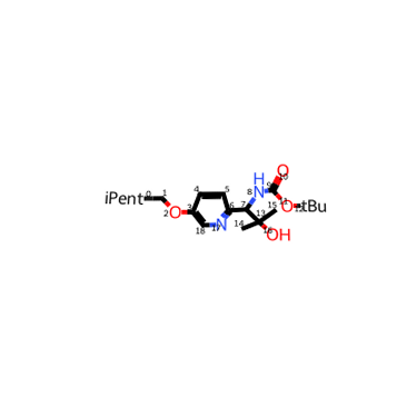 CCCC(C)COc1ccc(C(NC(=O)OC(C)(C)C)C(C)(C)O)nc1